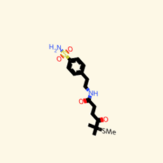 CSC(C)(C)C(=O)CCC(=O)NCCc1ccc(S(N)(=O)=O)cc1